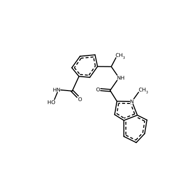 CC(NC(=O)c1cc2ccccc2n1C)c1cccc(C(=O)NO)c1